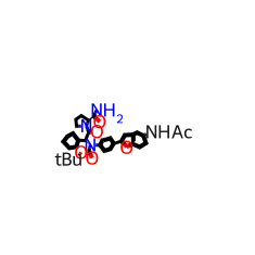 CC(=O)Nc1ccc2oc(-c3ccc(N(C(=O)OC(C)(C)C)[C@@H](C(=O)N4CCC[C@H]4C(N)=O)c4ccccc4)cc3)cc2c1